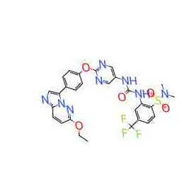 CCOc1ccc2ncc(-c3ccc(Oc4ncc(NC(=O)Nc5cc(C(F)(F)F)ccc5S(=O)(=O)N(C)C)cn4)cc3)n2n1